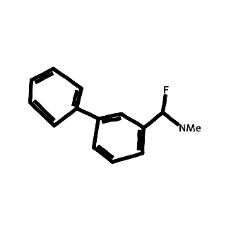 CNC(F)c1cccc(-c2ccccc2)c1